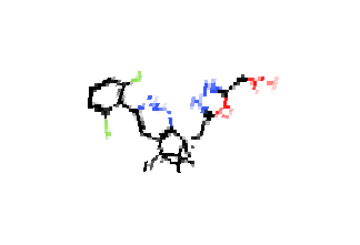 CC1(C)[C@@H]2CC[C@@]1(Cc1nnc(CO)o1)c1nnc(-c3c(F)cccc3F)cc12